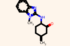 C=C1CCC(Nc2nc3ccccc3n2C)C(=O)C1